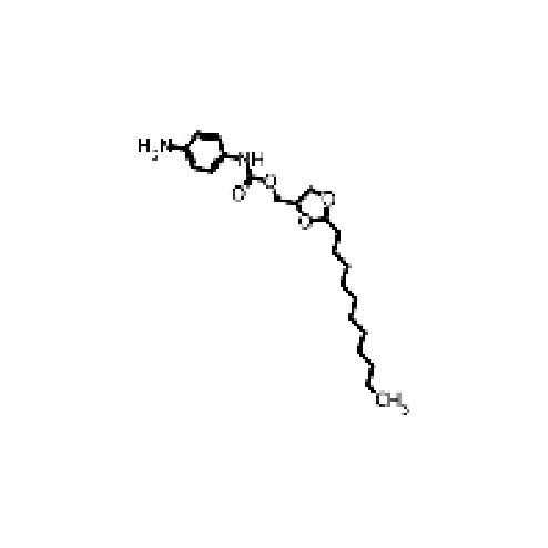 CCCCCCCCCCCC1OCC(COC(=O)Nc2ccc(N)cc2)O1